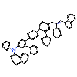 C(=C(\Cc1ccc(-c2ccc(-c3ccc(N(c4ccccc4)c4cccc5ccccc45)cc3-c3ccccc3)cc2)c(-c2ccccc2)c1)c1ccccc1)/c1cccc2ccccc12